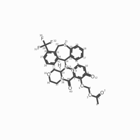 CC(=O)OCOc1c2n(ccc1=O)N([C@@H]1c3ccccc3SCc3c1cccc3C(F)(F)F)[C@@H]1COCCN1C2=O